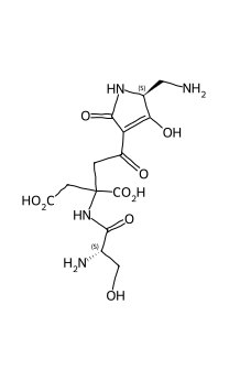 NC[C@@H]1NC(=O)C(C(=O)CC(CC(=O)O)(NC(=O)[C@@H](N)CO)C(=O)O)=C1O